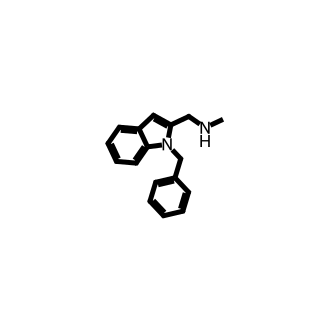 CNCc1cc2ccccc2n1Cc1ccccc1